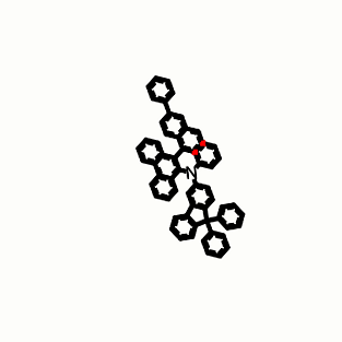 c1ccc(-c2ccc3c(-c4c(N(c5ccccc5)c5ccc6c(c5)-c5ccccc5C6(c5ccccc5)c5ccccc5)c5ccccc5c5ccccc45)cccc3c2)cc1